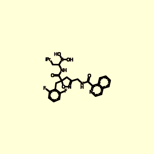 CC(C)CC(NC(=O)C1(Cc2c(F)cccc2F)CC(CNC(=O)c2nccc3ccccc23)=NO1)B(O)O